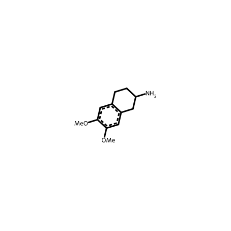 COc1cc2c(cc1OC)CC(N)CC2